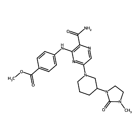 COC(=O)c1ccc(Nc2nc(N3CCCC(N4CCN(C)C4=O)C3)cnc2C(N)=O)cc1